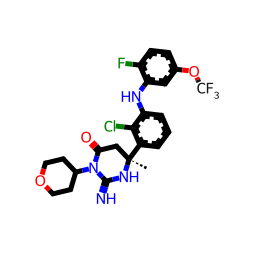 C[C@@]1(c2cccc(Nc3cc(OC(F)(F)F)ccc3F)c2Cl)CC(=O)N(C2CCOCC2)C(=N)N1